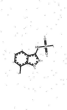 Cc1cccc2c(NS(C)(=O)=O)noc12